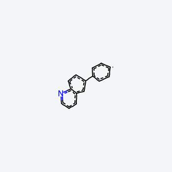 [c]1ccc(-c2ccc3ncccc3c2)cc1